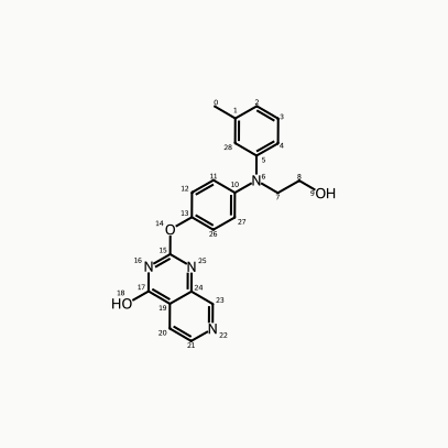 Cc1cccc(N(CCO)c2ccc(Oc3nc(O)c4ccncc4n3)cc2)c1